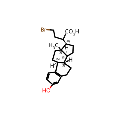 C[C@]12CC[C@@H]3c4ccc(O)cc4CC[C@H]3[C@@H]1CC[C@@H]2C(CCBr)C(=O)O